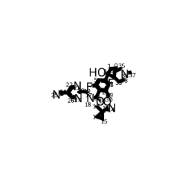 CCC(O)(c1cc(F)c([C@@H](OCC2(C#N)CC2)N(C)Cc2ncc(C#N)cn2)c(C=O)c1)C1(F)CCN(C)CC1